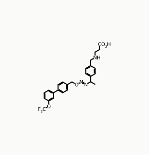 CC(N=NOCc1ccc(-c2cccc(OC(F)(F)F)c2)cc1)c1ccc(CNCCC(=O)O)cc1